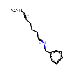 CC(=O)N/C=C/CCC/C=N/Cc1ccccc1